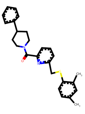 Cc1ccc(SCc2cccc(C(=O)N3CCC(c4ccccc4)CC3)n2)c(C)c1